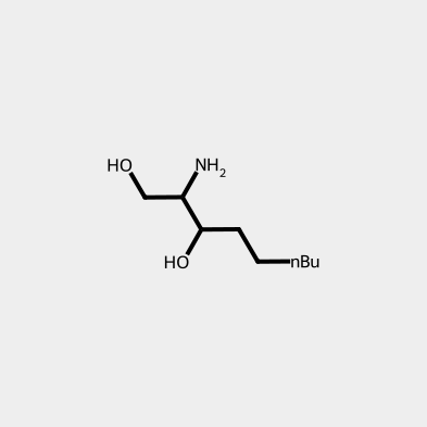 CCCCCCC(O)C(N)CO